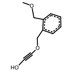 COCc1ccccc1COC#CO